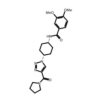 COc1ccc(C(=O)N[C@H]2CC[C@@H](n3cc(C(=O)N4CCCC4)nn3)CC2)cc1OC